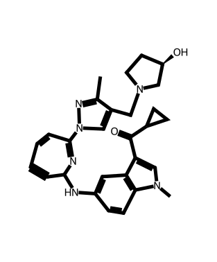 Cc1nn(C2=NC(Nc3ccc4c(c3)c(C(=O)C3CC3)cn4C)C#CC=C2)cc1CN1CC[C@@H](O)C1